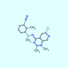 Cc1c(C#N)cccc1C(C)N=c1nc(C)n(C)c2cnc(Cl)cc12